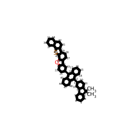 CC1(C)c2ccccc2-c2cc(-c3c4ccccc4c(-c4ccc5oc6c(ccc7c8ccc9ccccc9c8sc76)c5c4)c4ccccc34)ccc21